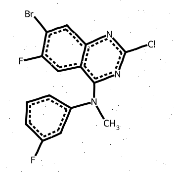 CN(c1cccc(F)c1)c1nc(Cl)nc2cc(Br)c(F)cc12